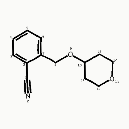 N#Cc1ccccc1COC1CCOCC1